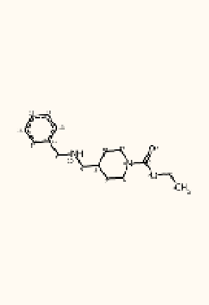 CCOC(=O)N1CCC(CNCc2ccccc2)CC1